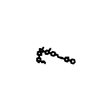 Cc1nc2ccc(-c3ccnc(N)c3)nc2n1-c1ccc(N2CCN(CCC#Cc3ccc(N4CCCCC4)nc3)CC2)c(F)c1